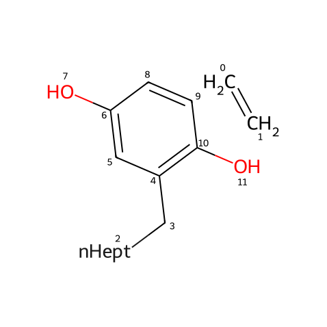 C=C.CCCCCCCCc1cc(O)ccc1O